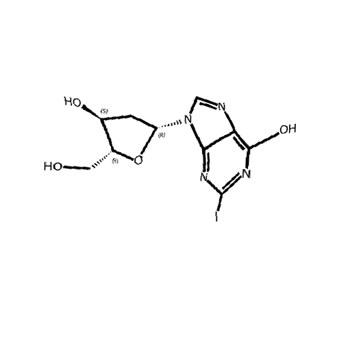 OC[C@H]1O[C@@H](n2cnc3c(O)nc(I)nc32)C[C@@H]1O